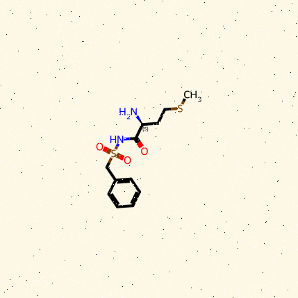 CSCC[C@H](N)C(=O)NS(=O)(=O)Cc1ccccc1